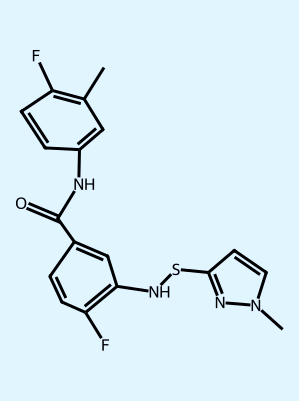 Cc1cc(NC(=O)c2ccc(F)c(NSc3ccn(C)n3)c2)ccc1F